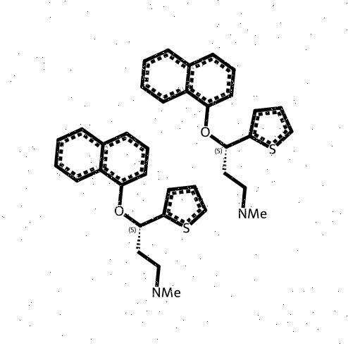 CNCC[C@H](Oc1cccc2ccccc12)c1cccs1.CNCC[C@H](Oc1cccc2ccccc12)c1cccs1